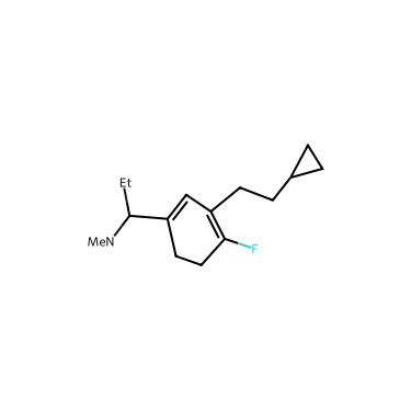 CCC(NC)C1=CC(CCC2CC2)=C(F)CC1